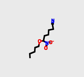 CCCCCOC(CCCCC#N)[N+](=O)[O-]